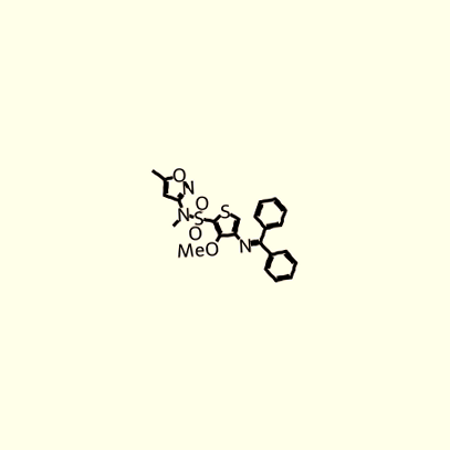 COc1c(N=C(c2ccccc2)c2ccccc2)csc1S(=O)(=O)N(C)c1cc(C)on1